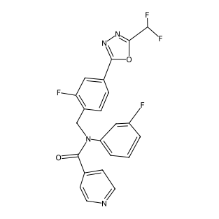 O=C(c1ccncc1)N(Cc1ccc(-c2nnc(C(F)F)o2)cc1F)c1cccc(F)c1